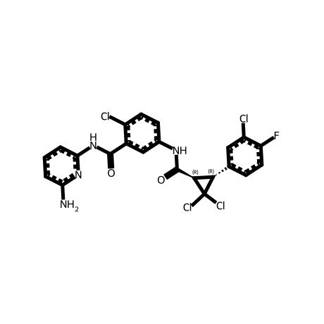 Nc1cccc(NC(=O)c2cc(NC(=O)[C@H]3[C@H](c4ccc(F)c(Cl)c4)C3(Cl)Cl)ccc2Cl)n1